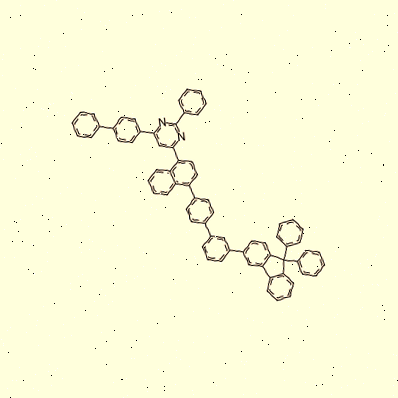 c1ccc(-c2ccc(-c3cc(-c4ccc(-c5ccc(-c6cccc(-c7ccc8c(c7)-c7ccccc7C8(c7ccccc7)c7ccccc7)c6)cc5)c5ccccc45)nc(-c4ccccc4)n3)cc2)cc1